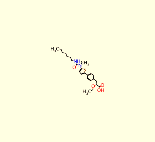 CCCCCCCNC(=O)N(C)c1ccc(-c2ccc(C[C@H](OCC)C(=O)O)cc2)s1